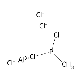 CP(Cl)Cl.[Al+3].[Cl-].[Cl-].[Cl-]